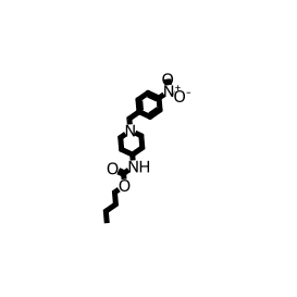 CCCCOC(=O)NC1CCN(Cc2ccc([N+](=O)[O-])cc2)CC1